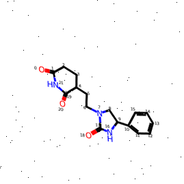 O=C1CCC(CCN2CC(c3ccccc3)NC2=O)C(=O)N1